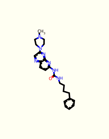 CN1CCN(c2cnc3ccc(NC(=O)NCCCCc4ccccc4)nc3n2)CC1